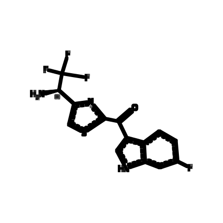 N[C@H](c1csc(C(=O)c2c[nH]c3cc(F)ccc23)n1)C(F)(F)F